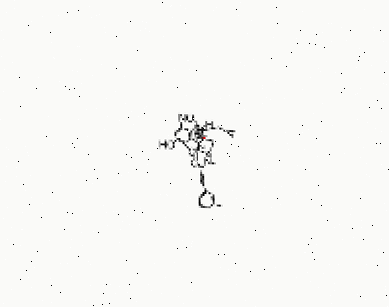 Cc1cccc(C#CC(=O)N(C)[C@H]2CC[C@H]3[C@H]4Cc5c([N+](=O)[O-])cc(O)c6c5[C@@]3(CCN4CC3CC3)[C@H]2O6)c1